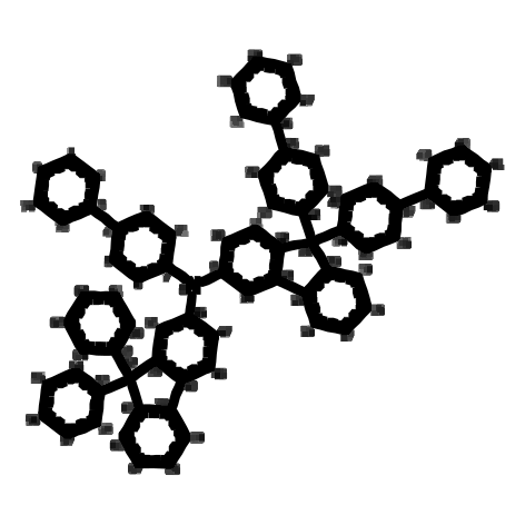 c1ccc(-c2ccc(N(c3ccc4c(c3)-c3ccccc3C4(c3ccc(-c4ccccc4)cc3)c3ccc(-c4ccccc4)cc3)c3ccc4c(c3)C(c3ccccc3)(c3ccccc3)c3ccccc3-4)cc2)cc1